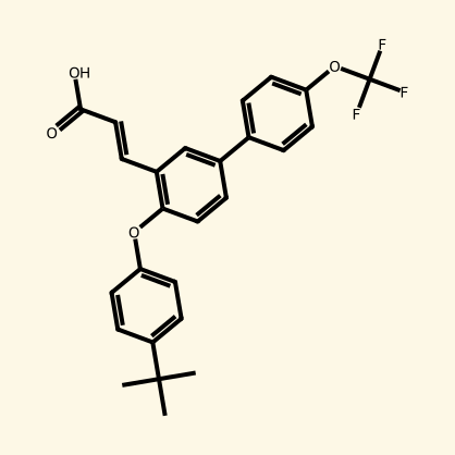 CC(C)(C)c1ccc(Oc2ccc(-c3ccc(OC(F)(F)F)cc3)cc2C=CC(=O)O)cc1